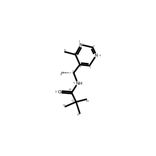 Cc1ncncc1[C@@H](C)NC(=O)C(C)(C)C